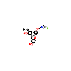 COc1ccc(C2=C(C)c3cc(O)ccc3O[C@H]2c2ccc(OCCN3CC(CF)C3)cc2)cc1O